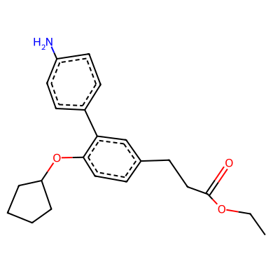 CCOC(=O)CCc1ccc(OC2CCCC2)c(-c2ccc(N)cc2)c1